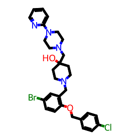 OC1(CN2CCN(c3ccccn3)CC2)CCN(Cc2cc(Br)ccc2OCc2ccc(Cl)cc2)CC1